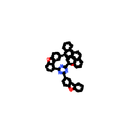 c1ccc(-c2nc(-c3ccc4oc5ccccc5c4c3)nc(-c3cccc4oc5ccc(-c6cc7c8ccccc8ccc7c7ccccc67)cc5c34)n2)cc1